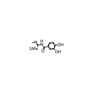 C/N=C(/NC(=O)c1ccc(O)c(O)c1)SC